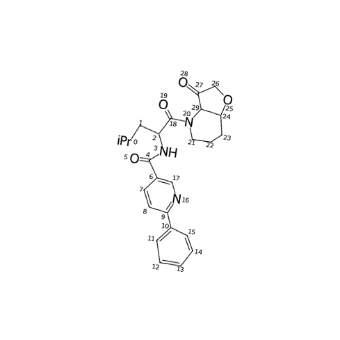 CC(C)CC(NC(=O)c1ccc(-c2ccccc2)nc1)C(=O)N1CCCC2OCC(=O)C21